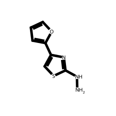 NNc1nc(-c2ccco2)cs1